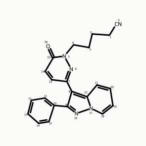 N#CCCCCn1nc(-c2c(-c3ccccc3)nn3ccccc23)ccc1=O